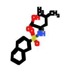 CC(C)C[C@@H](NS(=O)(=O)c1ccc2ccccc2c1)C(=O)O